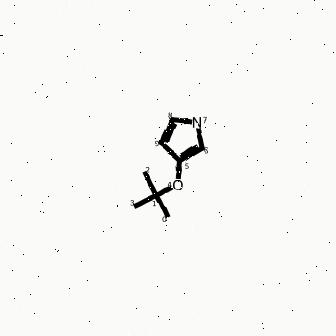 CC(C)(C)OC1=C[N]C=C1